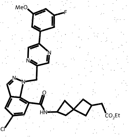 CCOC(=O)CC1CC2(C1)CC(NC(=O)c1cc(Cl)cc3cnn(Cc4cnc(-c5cc(F)cc(OC)c5)cn4)c13)C2